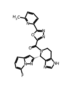 Cc1cccc(-c2nnc(C(=O)N3CCc4[nH]cnc4[C@@H]3c3cc4cccc(F)n4n3)o2)n1